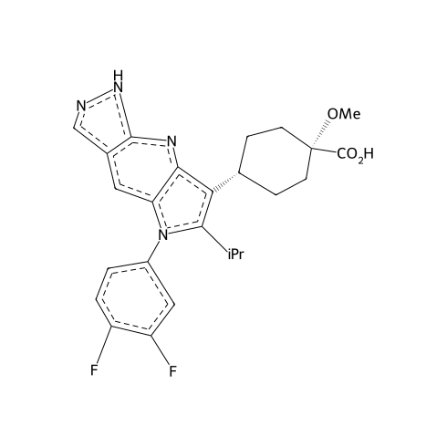 CO[C@]1(C(=O)O)CC[C@H](c2c(C(C)C)n(-c3ccc(F)c(F)c3)c3cc4cn[nH]c4nc32)CC1